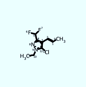 C/C=C/c1c(C(F)F)nn(CC)c1Cl